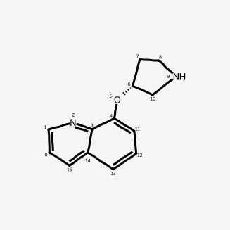 c1cnc2c(O[C@@H]3CCNC3)cccc2c1